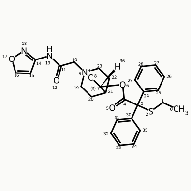 CCSC(C(=O)O[C@H]1C[N+]2(CC(=O)Nc3ccon3)CCC1CC2)(c1ccccc1)c1ccccc1